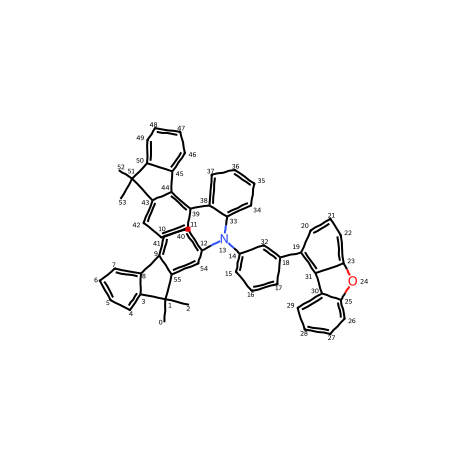 CC1(C)c2ccccc2-c2ccc(N(c3cccc(-c4cccc5oc6ccccc6c45)c3)c3ccccc3-c3cccc4c3-c3ccccc3C4(C)C)cc21